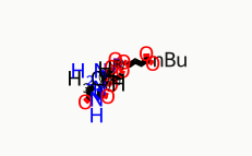 CCCCOC(=O)CCCO[P@]1(=O)OC[C@H]2O[C@@H](n3ccc(=O)[nH]c3=O)[C@](C)(N)[C@@H]2O1